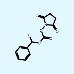 O=C(OC(F)c1ccccc1)ON1C(=O)CCC1=O